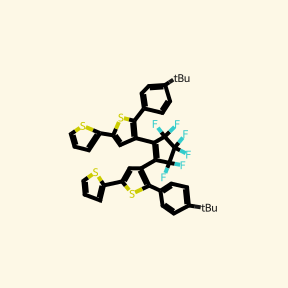 CC(C)(C)c1ccc(-c2sc(-c3cccs3)cc2C2=C(c3cc(-c4cccs4)sc3-c3ccc(C(C)(C)C)cc3)C(F)(F)C(F)(F)C2(F)F)cc1